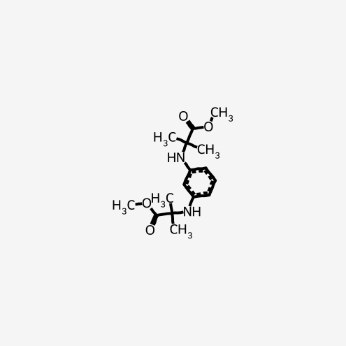 COC(=O)C(C)(C)Nc1cccc(NC(C)(C)C(=O)OC)c1